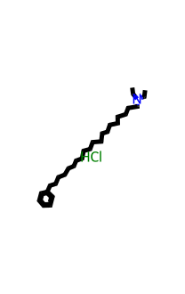 CCN(CC)CCCCCCCCCCCCCCCCCCCCc1ccccc1.Cl